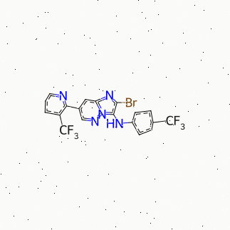 FC(F)(F)c1ccc(Nc2c(Br)nc3cc(-c4ncccc4C(F)(F)F)cnn23)cc1